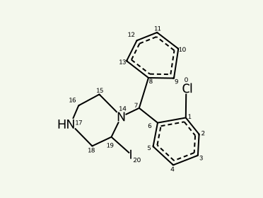 Clc1ccccc1C(c1ccccc1)N1CCNCC1I